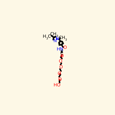 CC(C)c1cnn(C(C)c2ccc(C(=O)NCCOCCOCCOCCOCCOCCO)cc2)c1